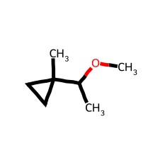 COC(C)C1(C)CC1